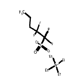 CC[N+](CC)(CC)CC.O=S(=O)([O-])C(F)(F)C(F)(F)CCC(F)(F)F